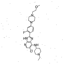 CCN1CCC(Nc2c(Cl)cnc3[nH]c(-c4ccc(N5CCN(CCOC)CC5)cc4F)nc23)CC1